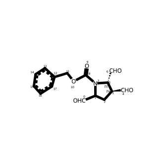 O=CC1C[C@H](C=O)[C@@H](C=O)N1C(=O)OCc1ccccc1